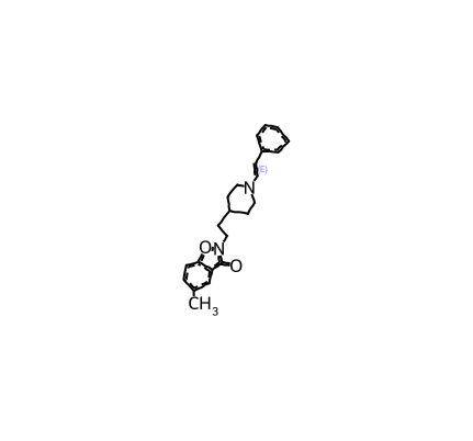 Cc1ccc2on(CCC3CCN(/C=C/c4ccccc4)CC3)c(=O)c2c1